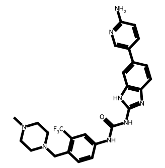 CN1CCN(Cc2ccc(NC(=O)Nc3nc4ccc(-c5ccc(N)nc5)cc4[nH]3)cc2C(F)(F)F)CC1